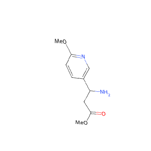 COC(=O)CC(N)c1ccc(OC)nc1